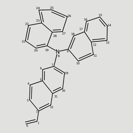 C=Cc1ccc2cc(N(c3ccc4ccccc4c3)c3cccc4ccccc34)ccc2c1